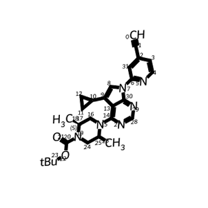 C#Cc1ccnc(-n2cc(C3CC3)c3c(N4C[C@H](C)N(C(=O)OC(C)(C)C)CC4C)ncnc32)c1